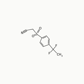 CC(F)(F)c1ccc(S(=O)(=O)CC#N)cc1